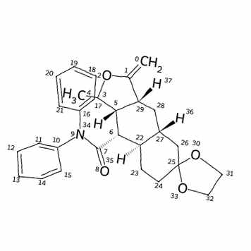 C=C1OC(C)[C@H]2[C@@H](C(=O)N(c3ccccc3)c3ccccc3)[C@@H]3CCC4(C[C@H]3C[C@@H]12)OCCO4